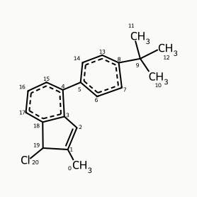 CC1=Cc2c(-c3ccc(C(C)(C)C)cc3)cccc2C1Cl